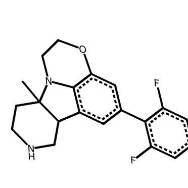 CC12CCNCC1c1cc(-c3c(F)cccc3F)cc3c1N2CCO3